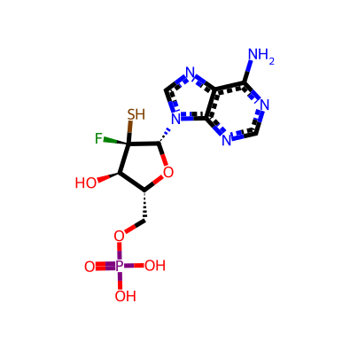 Nc1ncnc2c1ncn2[C@@H]1O[C@H](COP(=O)(O)O)[C@@H](O)[C@]1(F)S